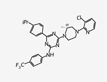 CC(C)c1ccc(-c2nc(Nc3ccc(C(F)(F)F)cc3)nc(N3CCN(c4ncccc4Cl)C[C@H]3C)n2)cc1